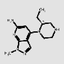 CC[C@H]1CNCCN1c1cc(N)nc2c1cnn2C